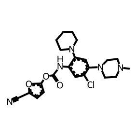 CN1CCN(c2cc(N3CCCCC3)c(NC(=O)Oc3ccc(C#N)o3)cc2Cl)CC1